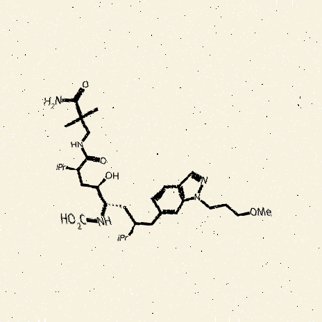 COCCCn1ncc2ccc(C[C@H](C[C@H](NC(=O)O)[C@H](O)C[C@H](C(=O)NCC(C)(C)C(N)=O)C(C)C)C(C)C)cc21